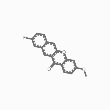 COc1ccc2c(=O)c3cc4cc(F)ccc4cc3oc2c1